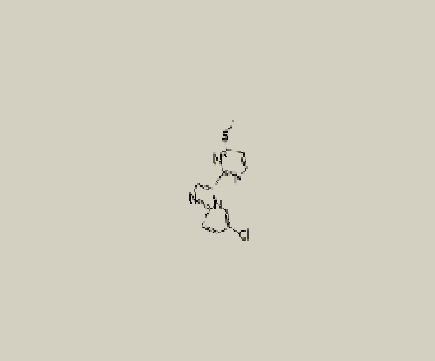 CSc1ccnc(-c2cnc3ccc(Cl)cn23)n1